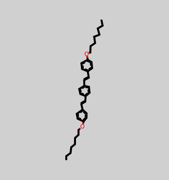 CCCCCCCCOc1ccc(C=Cc2ccc(C=Cc3ccc(OCCCCCCCC)cc3)cc2)cc1